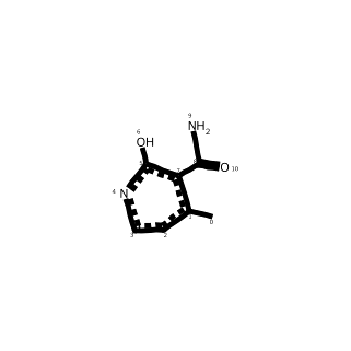 Cc1ccnc(O)c1C(N)=O